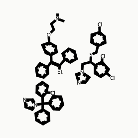 CC/C(=C(\c1ccccc1)c1ccc(OCCN(C)C)cc1)c1ccccc1.Clc1ccc(CSC(Cn2ccnc2)c2ccc(Cl)cc2Cl)cc1.Clc1ccccc1C(c1ccccc1)(c1ccccc1)n1ccnc1